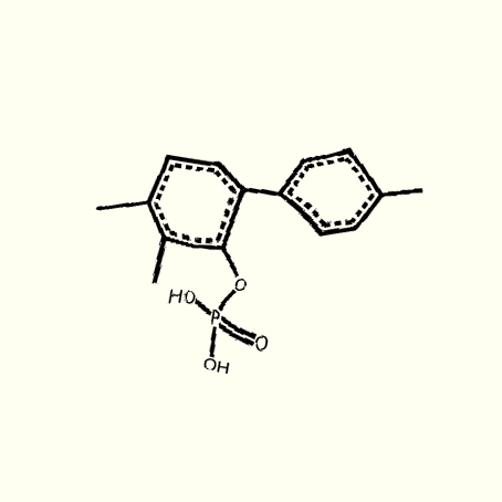 Cc1ccc(-c2ccc(C)c(C)c2OP(=O)(O)O)cc1